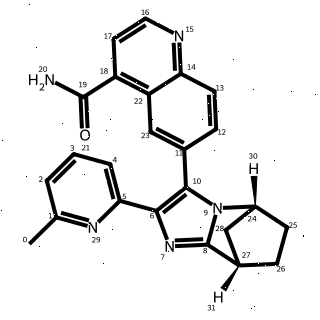 Cc1cccc(-c2nc3n(c2-c2ccc4nccc(C(N)=O)c4c2)[C@@H]2CC[C@H]3C2)n1